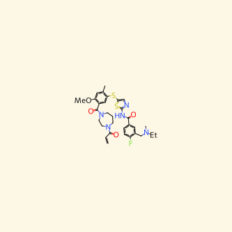 C=CC(=O)N1CCCN(C(=O)c2cc(Sc3cnc(NC(=O)c4ccc(F)c(CN(C)CC)c4)s3)c(C)cc2OC)CC1